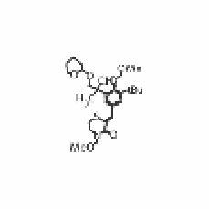 COCOc1c(C(C)(C)C)cc(C=C2SCCN(COC)C2=O)cc1C(C)(C)COC1CCCCO1